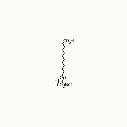 CCCCCCCCC(CCCCCCCCCCCCC(=O)O)C(C)(CCCCCCCC)C(=O)O